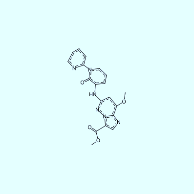 COC(=O)c1cnc2c(OC)cc(Nc3cccn(-c4ccccn4)c3=O)nn12